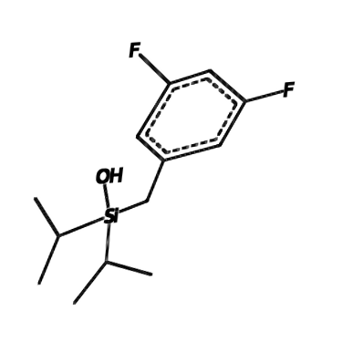 CC(C)[Si](O)(Cc1cc(F)cc(F)c1)C(C)C